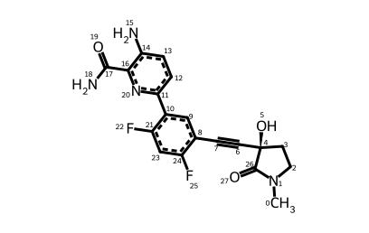 CN1CC[C@@](O)(C#Cc2cc(-c3ccc(N)c(C(N)=O)n3)c(F)cc2F)C1=O